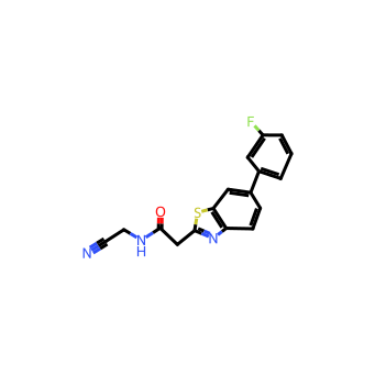 N#CCNC(=O)Cc1nc2ccc(-c3cccc(F)c3)cc2s1